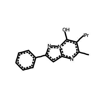 Cc1nc2cc(-c3ccccc3)nn2c(O)c1C(C)C